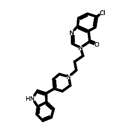 O=c1c2cc(Cl)ccc2ncn1CCCN1CC=C(c2c[nH]c3ccccc23)CC1